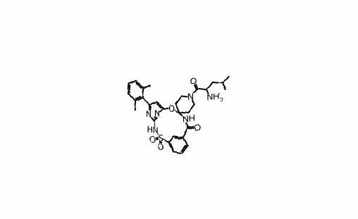 Cc1cccc(C)c1-c1cc2nc(n1)NS(=O)(=O)c1cccc(c1)C(=O)NC1(CCN(C(=O)C(N)CC(C)C)CC1)O2